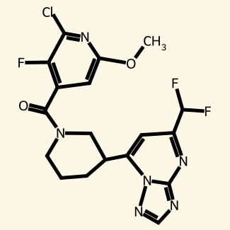 COc1cc(C(=O)N2CCCC(c3cc(C(F)F)nc4ncnn34)C2)c(F)c(Cl)n1